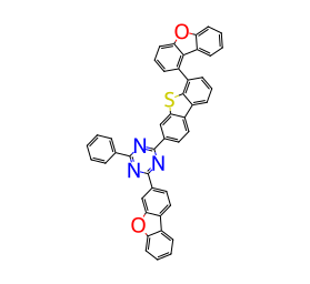 c1ccc(-c2nc(-c3ccc4c(c3)oc3ccccc34)nc(-c3ccc4c(c3)sc3c(-c5cccc6oc7ccccc7c56)cccc34)n2)cc1